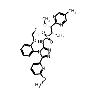 CCOc1ccccc1-n1c(NS(=O)(=O)[C@@H](C)[C@H](OC)c2ncc(C)cn2)nnc1-c1cccc(OC)n1